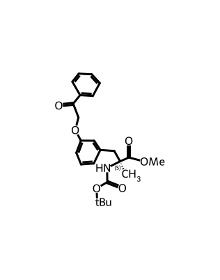 COC(=O)[C@](C)(Cc1cccc(OCC(=O)c2ccccc2)c1)NC(=O)OC(C)(C)C